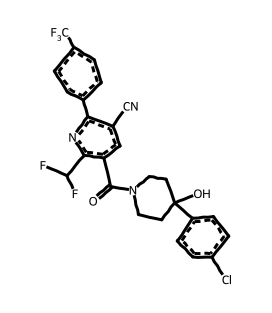 N#Cc1cc(C(=O)N2CCC(O)(c3ccc(Cl)cc3)CC2)c(C(F)F)nc1-c1ccc(C(F)(F)F)cc1